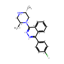 C[C@@H]1CN(c2nnc(-c3ccc(F)cc3)c3ccccc23)[C@@H](C)CN1